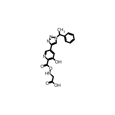 CC(c1ccccc1)n1cc(-c2cnc(C(=O)ONCC(=O)O)c(O)c2)nn1